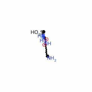 Nc1ccc(CCCCCCCCCCC(=O)NCCNC(=O)c2ccc(N/N=C/c3ccccc3S(=O)(=O)O)nc2)cc1